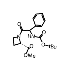 COC(=O)[C@@H]1CCN1C(=O)C(NC(=O)OC(C)(C)C)c1ccccc1